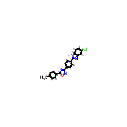 Cc1ccc(-c2nc(-c3ccc(-c4nc5cc(Cl)ccc5[nH]4)cc3)no2)cc1